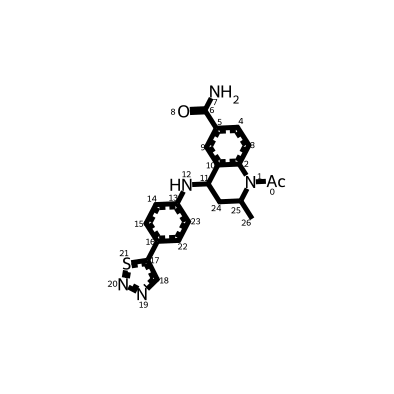 CC(=O)N1c2ccc(C(N)=O)cc2C(Nc2ccc(-c3cnns3)cc2)CC1C